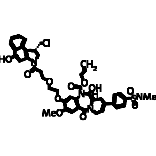 C=CCOC(=O)N1c2cc(OCCOCCC(=O)N3C[C@@H](CCl)c4c3cc(O)c3ccccc43)c(OC)cc2C(=O)N2CC=C(c3ccc(S(=O)(=O)NC)cc3)C[C@H]2C1O